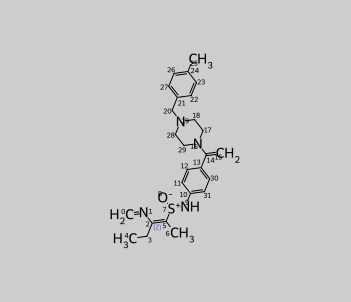 C=N/C(CC)=C(/C)[S+]([O-])Nc1ccc(C(=C)N2CCN(Cc3ccc(C)cc3)CC2)cc1